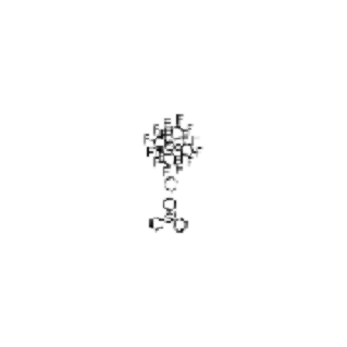 Fc1c(F)c(F)[c]([Ga-]([c]2c(F)c(F)c(F)c(F)c2F)([c]2c(F)c(F)c(F)c(F)c2F)[c]2c(F)c(F)c(F)c(F)c2F)c(F)c1F.c1ccc([S+](c2ccccc2)c2ccc(C3CCCCC3)cc2)cc1